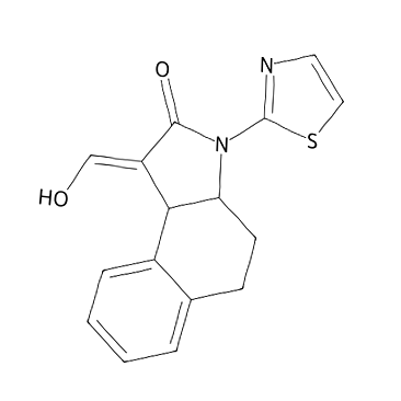 O=C1/C(=C/O)C2c3ccccc3CCC2N1c1nccs1